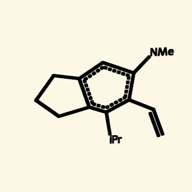 C=Cc1c(NC)cc2c(c1C(C)C)CCC2